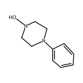 ON1CCN(c2ccccc2)CC1